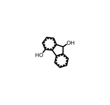 Oc1cccc2c1-c1ccccc1C2O